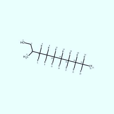 CC(CO)C(F)(F)C(F)(F)C(F)(F)C(F)(F)C(F)(F)C(F)(F)C(F)(F)C(F)(F)F